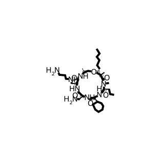 CCCCCC[C@H]1OC[C@@H](C)NC(=O)[C@H](CNCCCN)NC(=O)[C@H](CN)NC(=O)[C@H](C2CCCCCC2)NC(=O)[C@H](CCC)N(C)C(=O)[C@@H]1C